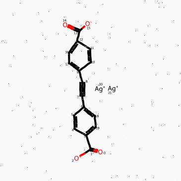 O=C([O-])c1ccc(C#Cc2ccc(C(=O)[O-])cc2)cc1.[Ag+].[Ag+]